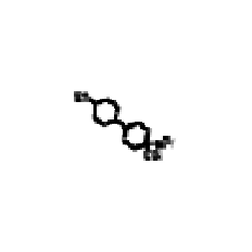 CCCC1(C#N)CCC(C2CCC(CC)CC2)CC1